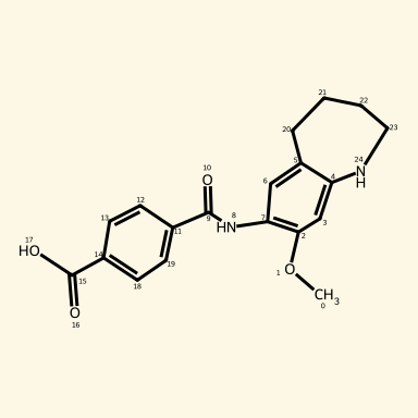 COc1cc2c(cc1NC(=O)c1ccc(C(=O)O)cc1)CCCCN2